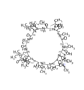 C/C=C/C[C@@H](C)[C@@H](O)[C@H]1C(=O)N[C@@H](CC)C(=O)N(C)CC(=O)N(C)[C@@H](CC(C)C)C(=O)N[C@@H](C(C)C)C(=O)N(C)[C@@H](CC(C)C)C(=O)N[C@@H](C)C(=O)N[C@H](C)C(=O)N(C)[C@@H](CC(C)C)C(=O)N(C)[C@@H](CC(C)C)C(=O)N(C)[C@@H](C(C)C)C(=O)N1C.CC(=O)OC(C)C